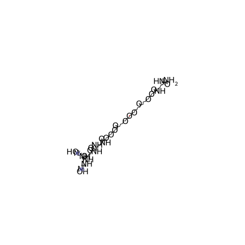 CNC(=O)[C@H](CCCCNC(=O)COCCOCCOCC(=O)CCCCOCCOCCOCCCCC(=O)CCCCOCCOCC(=O)NCCCC[C@H](NC)C(N)=O)NC(=O)CCCC(=O)NC(CNC(C)(C)/C(C)=N/O)CNC(C)(C)/C(C)=N/O